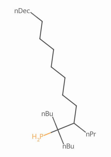 CCCCCCCCCCCCCCCCCC(CCC)C(P)(CCCC)CCCC